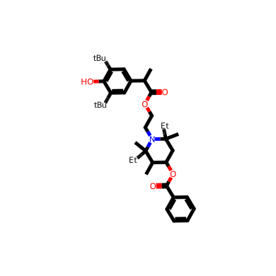 CCC1(C)CC(OC(=O)c2ccccc2)C(C)C(C)(CC)N1CCOC(=O)C(C)c1cc(C(C)(C)C)c(O)c(C(C)(C)C)c1